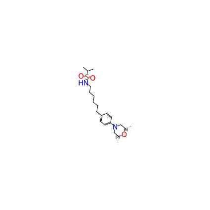 CC(C)S(=O)(=O)NCCCCCCc1ccc(N2C[C@@H](C)O[C@@H](C)C2)cc1